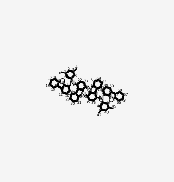 Cc1cc(C)cc(N(c2cccc3c2oc2ccccc23)c2ccc3c4c2c2ccccc2n4c2ccc(N(c4cc(C)cc(C)c4)c4cccc5c4oc4ccccc45)c4c5ccccc5n3c42)c1